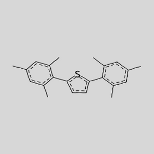 Cc1cc(C)c(-c2ccc(-c3c(C)cc(C)cc3C)s2)c(C)c1